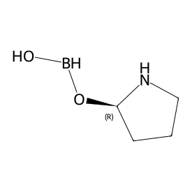 OBO[C@@H]1CCCN1